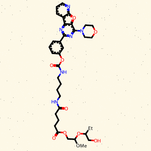 CCC(CO)OC(COC(=O)CCCC(=O)NCCCCNC(=O)Oc1cccc(-c2nc(N3CCOCC3)c3oc4ncccc4c3n2)c1)OC